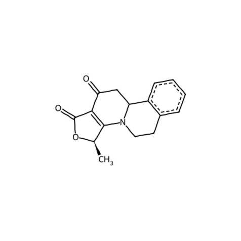 C[C@H]1OC(=O)C2=C1N1CCc3ccccc3C1CC2=O